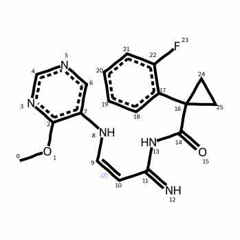 COc1ncncc1N/C=C\C(=N)NC(=O)C1(c2ccccc2F)CC1